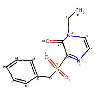 CCn1ccnc(S(=O)(=O)Cc2ccccc2)c1=O